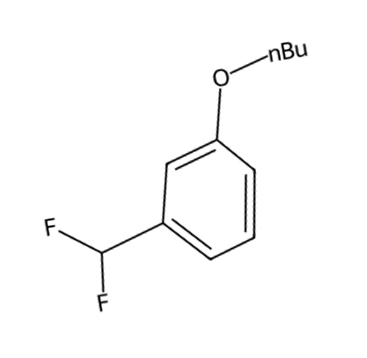 CCCCOc1cccc(C(F)F)c1